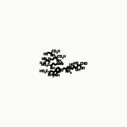 CSCC[C@H](N)C(=O)O.N=C(N)NCCC[C@H](N)C(=O)O.N[C@@H](CO)C(=O)O.N[C@@H](CS)C(=O)O.N[C@@H](Cc1c[nH]c2ccccc12)C(=O)O.O=C[C@H](O)[C@@H](O)[C@H](O)[C@H](O)CO